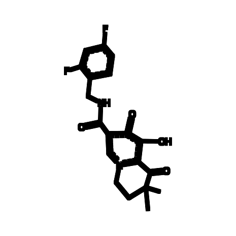 CC1(C)CCn2cc(C(=O)NCc3ccc(F)cc3F)c(=O)c(O)c2C1=O